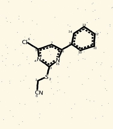 N#CCSc1nc(Cl)cc(-c2ccccc2)n1